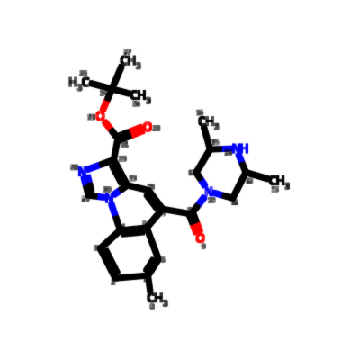 Cc1ccc2c(c1)c(C(=O)N1CC(C)NC(C)C1)cc1c(C(=O)OC(C)(C)C)ncn12